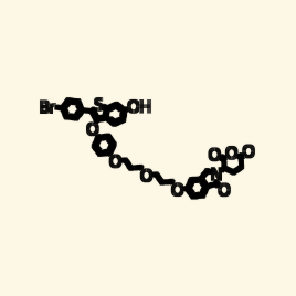 O=C1CCC(N2Cc3cc(OCCCOCCCOc4ccc(Oc5c(-c6ccc(Br)cc6)sc6cc(O)ccc56)cc4)ccc3C2=O)C(=O)O1